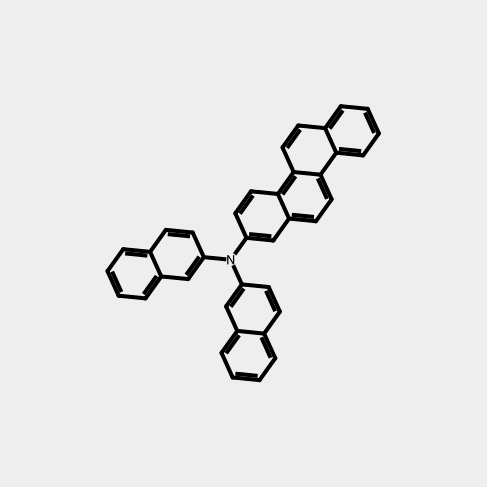 c1ccc2cc(N(c3ccc4ccccc4c3)c3ccc4c(ccc5c6ccccc6ccc45)c3)ccc2c1